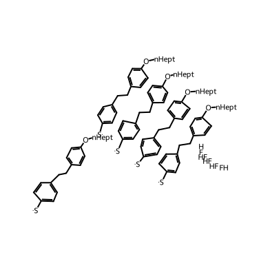 CCCCCCCOc1ccc(CCc2ccc([S])cc2)cc1.CCCCCCCOc1ccc(CCc2ccc([S])cc2)cc1.CCCCCCCOc1ccc(CCc2ccc([S])cc2)cc1.CCCCCCCOc1ccc(CCc2ccc([S])cc2)cc1.CCCCCCCOc1ccc(CCc2ccc([S])cc2)cc1.F.F.F.F.F